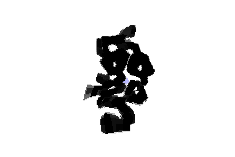 CC(C)(C)OC(=O)N1CCN(Cc2ccc(CN3C(=O)COc4ccc(/C=C5/SC(=O)NC5=O)cc43)cc2)CC1